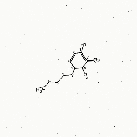 CCCC[CH]c1ccc(Cl)c(Cl)c1Cl